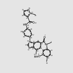 COc1cc(N(C)C(=O)c2cc(C)c3ncn(-c4ccc(NC(=O)c5ccnn5C)nc4)c3c2)ccc1F